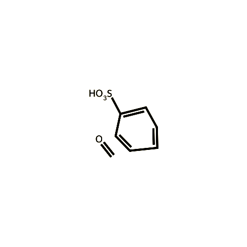 C=O.O=S(=O)(O)c1ccccc1